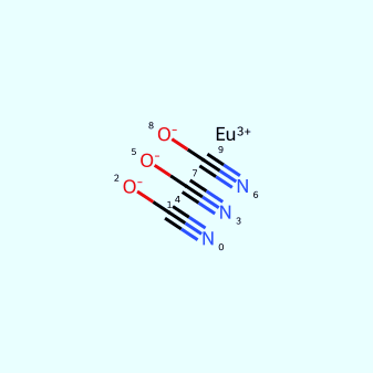 N#C[O-].N#C[O-].N#C[O-].[Eu+3]